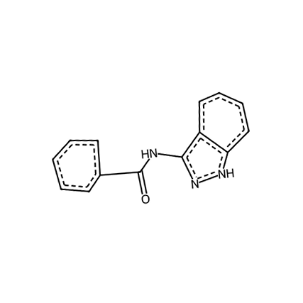 O=C(Nc1n[nH]c2ccccc12)c1ccccc1